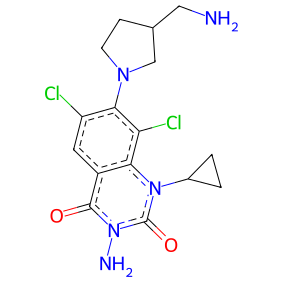 NCC1CCN(c2c(Cl)cc3c(=O)n(N)c(=O)n(C4CC4)c3c2Cl)C1